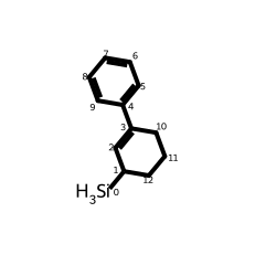 [SiH3]C1C=C(c2ccccc2)CCC1